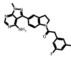 Cc1cc(F)cc(CC(=O)N2CCc3cc(-c4nn(C)c5ncnc(N)c45)ccc32)c1